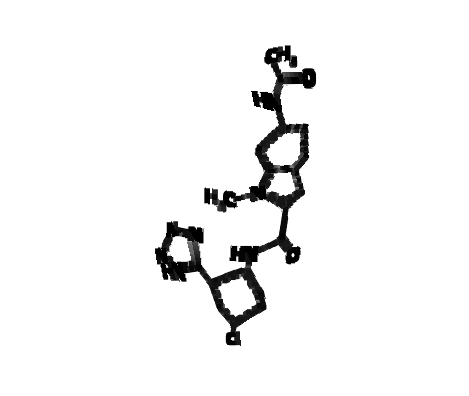 CC(=O)Nc1ccc2cc(C(=O)Nc3ccc(Cl)cc3-c3nnn[nH]3)n(C)c2c1